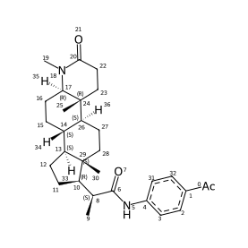 CC(=O)c1ccc(NC(=O)[C@@H](C)[C@H]2CC[C@H]3[C@@H]4CC[C@H]5N(C)C(=O)CC[C@]5(C)[C@H]4CC[C@]23C)cc1